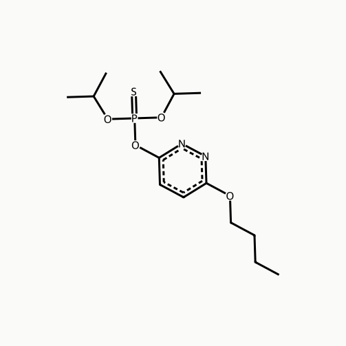 CCCCOc1ccc(OP(=S)(OC(C)C)OC(C)C)nn1